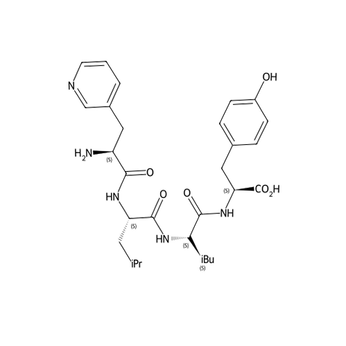 CC[C@H](C)[C@H](NC(=O)[C@H](CC(C)C)NC(=O)[C@@H](N)Cc1cccnc1)C(=O)N[C@@H](Cc1ccc(O)cc1)C(=O)O